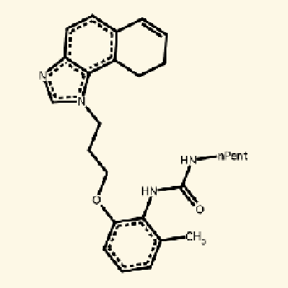 CCCCCNC(=O)Nc1c(C)cccc1OCCCn1cnc2ccc3c(c21)CCC=C3